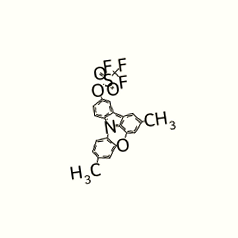 Cc1ccc2c(c1)Oc1cc(C)cc3c4cc(OS(=O)(=O)C(F)(F)F)ccc4n-2c13